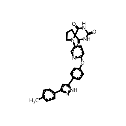 Cc1ccc(-c2cc(-c3ccc(Oc4ccc(N5CCCC56C(=O)NC(=O)NC6=O)cn4)cc3)[nH]n2)cc1